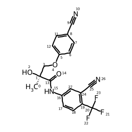 C[C@](O)(COc1ccc(C#N)cc1)C(=O)Nc1ccc(C(F)(F)F)c(C#N)c1